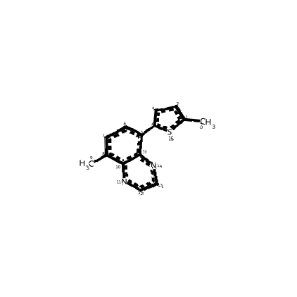 Cc1ccc(-c2ccc(C)c3nccnc23)s1